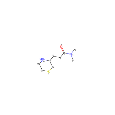 CN(C)C(=O)CCC1CSCCN1